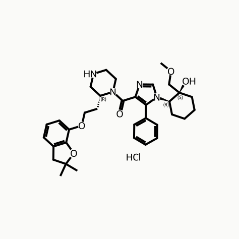 COC[C@]1(O)CCCC[C@H]1n1cnc(C(=O)N2CCNC[C@H]2CCOc2cccc3c2OC(C)(C)C3)c1-c1ccccc1.Cl